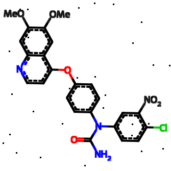 COc1cc2nccc(Oc3ccc(N(C(N)=O)c4ccc(Cl)c([N+](=O)[O-])c4)cc3)c2cc1OC